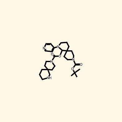 CC(C)(C)OC(=O)N1CCC2(CCCN(c3ccncc3)C2OC(=O)N2CCC3(CCCNC3)CC2)CC1